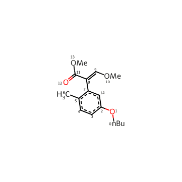 CCCCOc1ccc(C)c(/C(=C\OC)C(=O)OC)c1